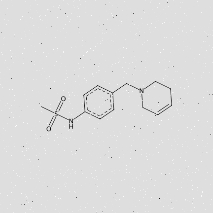 CS(=O)(=O)Nc1ccc(CN2CC=CCC2)cc1